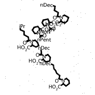 CC(C)CCCCC(=O)N1CCCCC1C(=O)O.CCCCCC(=O)N1CCCCC1C(=O)O.CCCCCCCCCC(=O)N1CCCCC1C(=O)O.CCCCCCCCCCCC(=O)N1CCCCC1C(=O)O.CCCCCCCCCCCCCC(=O)N1CCCCC1C(=O)O.CCCCCCCCCCCCCCCC(=O)N1CCCCC1C(=O)O